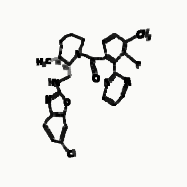 Cc1ccc(C(=O)N2CCC[C@@H](C)[C@H]2CNc2nc3ccc(Cl)cc3o2)c(-c2ncccn2)c1F